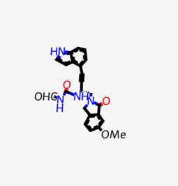 COc1ccc2c(c1)C(=O)N(C[C@@H](C#Cc1cccc3[nH]ccc13)NC(=O)NC=O)C2